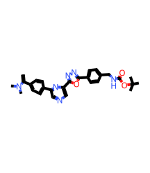 C=C(c1ccc(-c2cncc(-c3nnc(-c4ccc(CNC(=O)OC(C)(C)C)cc4)o3)n2)cc1)N(C)C